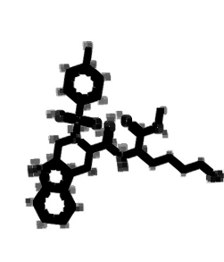 COC(=O)C(CCCCN)NC(=O)C1Cc2c([nH]c3ccccc23)CN1S(=O)(=O)c1ccc(C)cc1